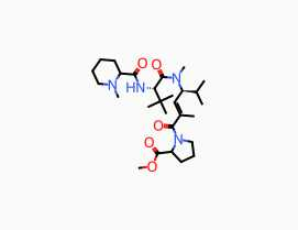 COC(=O)C1CCCN1C(=O)/C(C)=C/[C@H](C(C)C)N(C)C(=O)[C@@H](NC(=O)C1CCCCN1C)C(C)(C)C